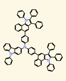 c1ccc(-c2c(-c3ccccc3)n(-c3ccccc3)c3c2cc(-c2ccc(N(c4ccc(-c5cc6c(-c7ccccc7)c(-c7ccccc7)n(-c7ccccc7)c6c6ccccc56)cc4)c4ccc5c(c4)c4ccccc4n5-c4ccccc4)cc2)c2ccccc23)cc1